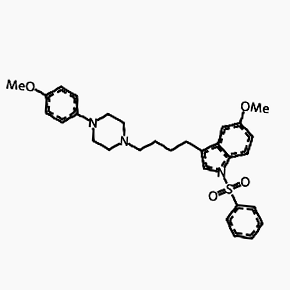 COc1ccc(N2CCN(CCCCc3cn(S(=O)(=O)c4ccccc4)c4ccc(OC)cc34)CC2)cc1